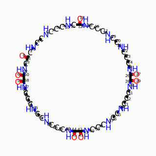 O=C1CNCCNCCCNCC(=O)NCCCNCCNCCCNC(=O)C(=O)NCCCNCCNCCCNC(=O)C(=O)NCCCNCCNCCCNC(=O)C(=O)NC1